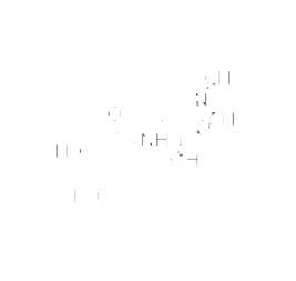 CC=C(C)C(=O)NC1(C(=O)O)CCC1N(C)C